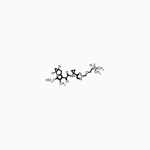 Cc1c(C(=O)C(=O)NC2(c3cnn(COCC[Si](C)(C)C)n3)CC2)c2n(c1C(=O)O)[C@@H]1C[C@@H]1C2